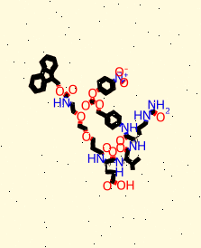 CC(C)[C@H](NC(=O)[C@@H](CCC(=O)O)NC(=O)CCOCCOCCNC(=O)OCC1c2ccccc2-c2ccccc21)C(=O)N[C@@H](CCCNC(N)=O)C(=O)Nc1ccc(COC(=O)Oc2ccc([N+](=O)[O-])cc2)cc1